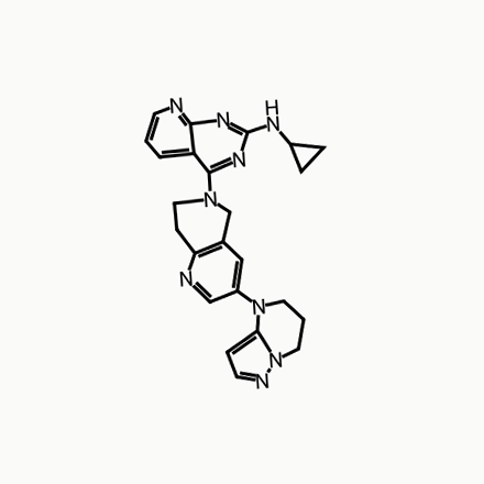 c1cnc2nc(NC3CC3)nc(N3CCc4ncc(N5CCCn6nccc65)cc4C3)c2c1